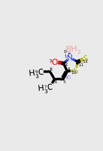 BN1C(=O)/C(=C\C(C)CC)SC1=S